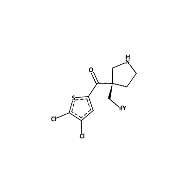 CC(C)C[C@]1(C(=O)c2cc(Cl)c(Cl)s2)CCNC1